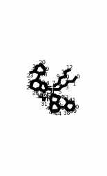 CCCCCC[Si]1(CCCCCC)C2=Cc3c(-c4ccccc4C)cccc3[CH]2[Hf]([CH3])([CH3])[CH]2C1=Cc1c(-c3ccccc3C)cccc12